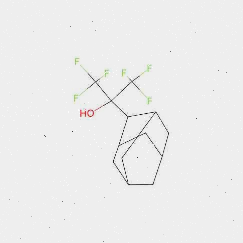 OC(C1C2CC3CC(C2)CC1C3)(C(F)(F)F)C(F)(F)F